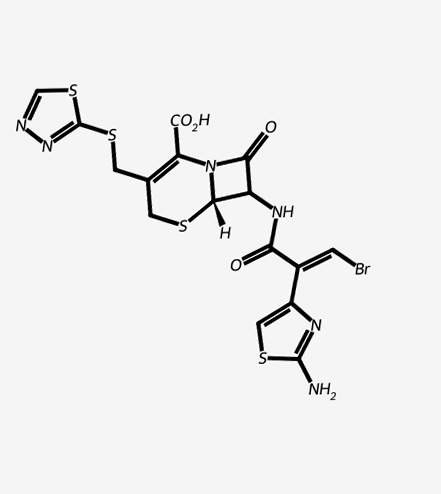 Nc1nc(C(=CBr)C(=O)NC2C(=O)N3C(C(=O)O)=C(CSc4nncs4)CS[C@@H]23)cs1